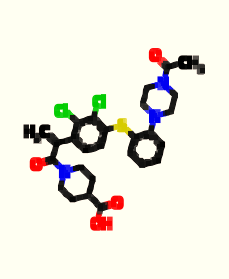 C=C(C(=O)N1CCC(C(=O)O)CC1)c1ccc(Sc2ccccc2N2CCN(C(C)=O)CC2)c(Cl)c1Cl